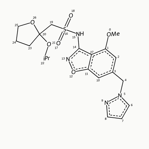 COc1cc(Cn2cccn2)cc2onc(NS(=O)(=O)CC3(OC(C)C)CCCO3)c12